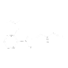 C=CC(=O)C=C.C=CC(=O)O.NC(=O)c1ccccc1Br